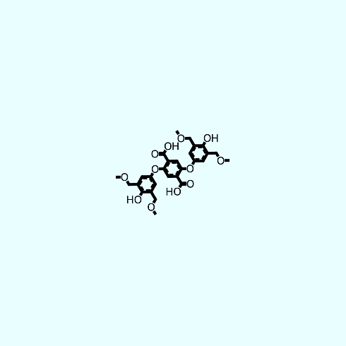 COCc1cc(Oc2cc(C(=O)O)c(Oc3cc(COC)c(O)c(COC)c3)cc2C(=O)O)cc(COC)c1O